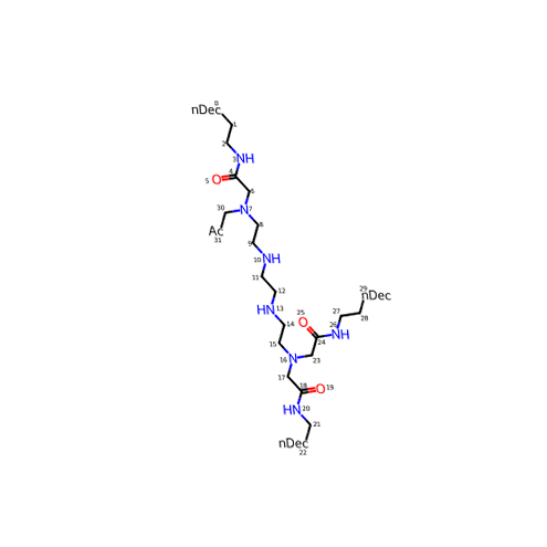 CCCCCCCCCCCCNC(=O)CN(CCNCCNCCN(CC(=O)NCCCCCCCCCCC)CC(=O)NCCCCCCCCCCCC)CC(C)=O